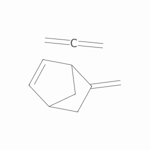 C=C1CC2C=CC1C2.C=C=C